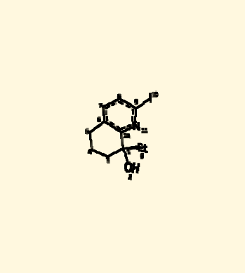 CC[C@@]1(O)CCCc2ccc(I)nc21